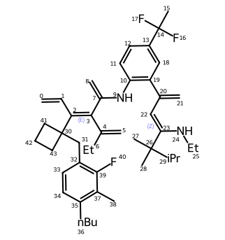 C=C/C(=C(/C(=C)CC)C(=C)Nc1ccc(C(C)(F)F)cc1C(=C)/C=C(\NCC)C(C)(C)C(C)C)C1(Cc2ccc(CCCC)c(C)c2F)CCC1